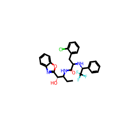 CCC(NC(=O)C(Cc1ccccc1Cl)N[C@@H](c1ccccc1)C(F)(F)F)[C@H](O)c1nc2ccccc2o1